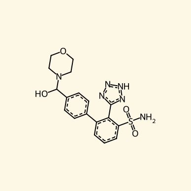 NS(=O)(=O)c1cccc(-c2ccc(C(O)N3CCOCC3)cc2)c1-c1nn[nH]n1